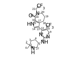 CC1(C)CC[C@H](Nc2ncc(C(F)(F)F)c(-c3c[nH]c4c3CCCN(CC(F)(F)F)C4=O)n2)CN1